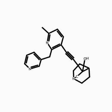 Cc1ccc(C#CC2(O)CN3CCC2CC3)c(Cc2cccnc2)n1